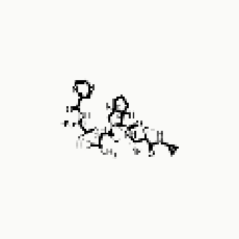 C=C(C)[C@H](NC(=O)[C@@H](NC(=O)c1cnccn1)C(C)(C)C)C(=O)N1C[C@@H]2CCC[C@@H]2[C@H]1C(=O)N[C@@H](CCC)C(O)C(=O)NC1CC1